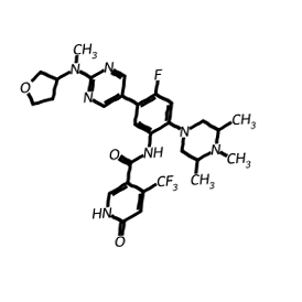 CC1CN(c2cc(F)c(-c3cnc(N(C)C4CCOC4)nc3)cc2NC(=O)c2c[nH]c(=O)cc2C(F)(F)F)CC(C)N1C